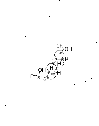 CC[C@@H](O)[C@@H](C)[C@H]1CC[C@H]2[C@@H]3CC[C@@H]4C[C@@](O)(C(F)(F)F)CC[C@]4(C)[C@H]3CC[C@]12C